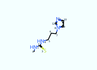 CNC(=S)NCCCn1ccnc1